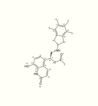 CC(=O)O[C@H](CNC1Cc2c(C)c(C)c(C)c(C)c2C1)c1ccc(O)c2[nH]c(=O)ccc12